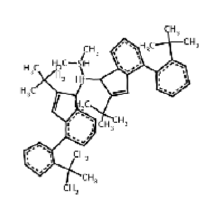 C[SiH](C)[Hf]([CH]1C(C(C)(C)C)=Cc2c(-c3ccccc3C(C)(C)C)cccc21)[CH]1C(C(C)(C)C)=Cc2c(-c3ccccc3C(C)(C)C)cccc21